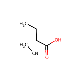 CC#N.CCCC(=O)O